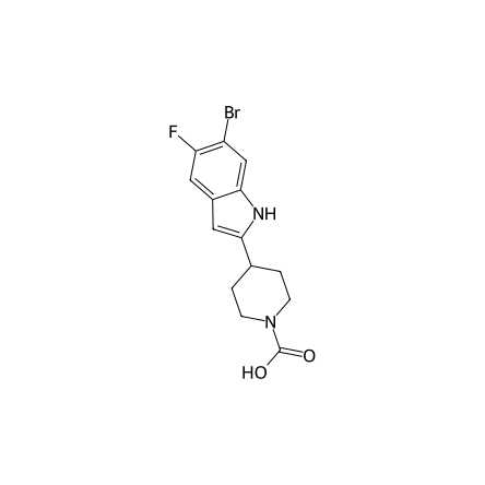 O=C(O)N1CCC(c2cc3cc(F)c(Br)cc3[nH]2)CC1